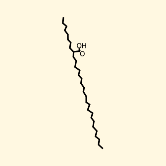 CCCCCCCCCCCCCCCCCCCCCCC(CCCCCCCC)C(=O)O